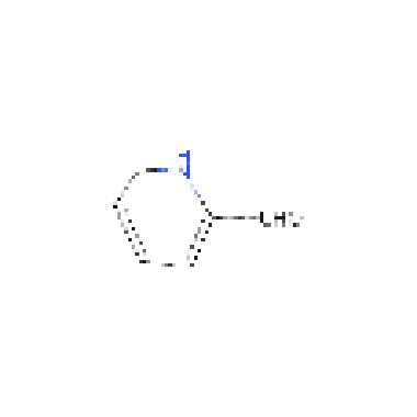 O=CC1=CC=CCN1